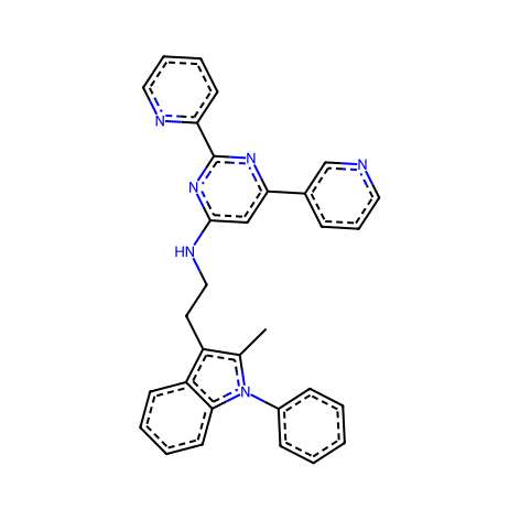 Cc1c(CCNc2cc(-c3cccnc3)nc(-c3ccccn3)n2)c2ccccc2n1-c1ccccc1